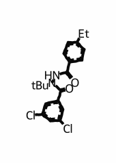 CCc1ccc(C(=O)NN(C(=O)c2cc(Cl)cc(Cl)c2)C(C)(C)C)cc1